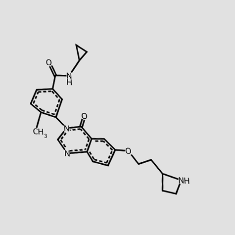 Cc1ccc(C(=O)NC2CC2)cc1-n1cnc2ccc(OCCC3CCN3)cc2c1=O